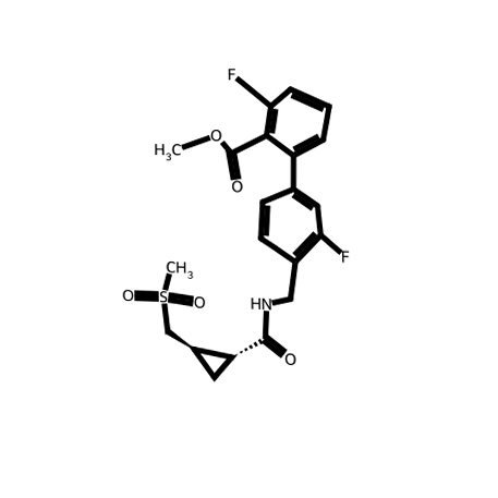 COC(=O)c1c(F)cccc1-c1ccc(CNC(=O)[C@@H]2C[C@H]2CS(C)(=O)=O)c(F)c1